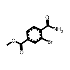 COC(=O)c1ccc(C(N)=O)c(Br)c1